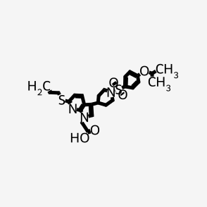 C=CCSc1ccc2c(C3CCN(S(=O)(=O)c4ccc(OC(C)C)cc4)CC3)cn(CC(=O)O)c2n1